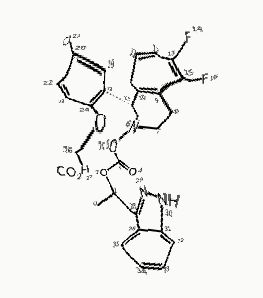 CC(OC(=O)ON1CCc2c(ccc(F)c2F)[C@H]1c1cc(Cl)ccc1OCC(=O)O)c1n[nH]c2ccccc12